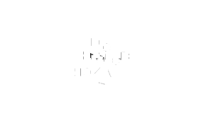 CCO[SiH](OCC)OCC.Cc1ccc(O)cc1